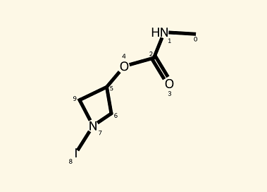 CNC(=O)OC1CN(I)C1